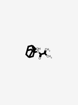 C=C(C)C(=O)OC12CC3CC(C1)C(O)(F)C(C3)C2